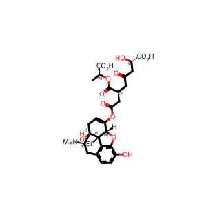 CC[C@]12c3c4ccc(O)c3O[C@H]1C(OC(=O)C[C@H](CC(=O)C[C@H](O)C(=O)O)C(=O)O[C@@H](C)C(=O)O)=CC[C@@]2(O)[C@H](NC)C4